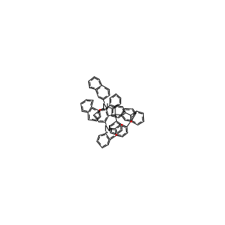 c1ccc(C2(c3ccccc3)c3ccccc3-c3cccc(-n4c5ccccc5c5ccc(-c6ccccc6-c6ccc(N(c7ccc8ccccc8c7)c7cccc8ccccc78)cc6)cc54)c32)cc1